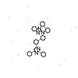 c1ccc(-c2cc(-c3cccc(-c4cccc(N5c6ccccc6-c6ccccc6-n6c5nc5ccccc56)c4)c3)nc(-c3ccccc3)n2)cc1